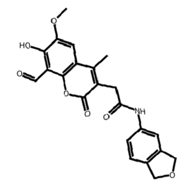 COc1cc2c(C)c(CC(=O)Nc3ccc4c(c3)COC4)c(=O)oc2c(C=O)c1O